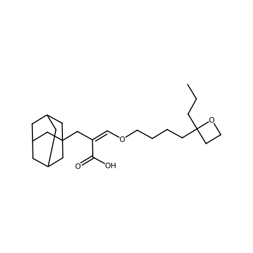 CCCC1(CCCCOC=C(CC23CC4CC(CC(C4)C2)C3)C(=O)O)CCO1